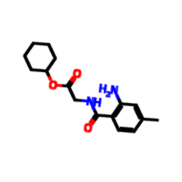 Cc1ccc(C(=O)NCC(=O)OC2CCCCC2)c(N)c1